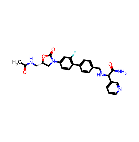 CC(=O)NC[C@H]1CN(c2ccc(-c3ccc(CNC(C(N)=O)c4cccnc4)cc3)c(F)c2)C(=O)O1